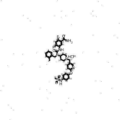 Cc1ccccc1CN(C(=O)Nc1cc(C(N)=O)c(F)cc1F)C1CCN(Cc2ccc(Oc3ccc(NS(C)(=O)=O)cc3)nc2)CC1.Cl